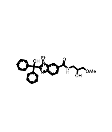 CCn1c(C(O)(c2ccccc2)c2ccccc2)nc2ccc(C(=O)NCC(O)COC)cc21